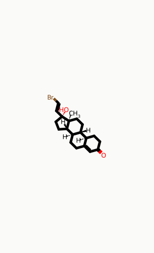 C[C@]12CC[C@H]3[C@@H](CCC4=CC(=O)CC[C@@H]43)[C@@H]1CC[C@@]2(O)/C=C/Br